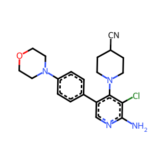 N#CC1CCN(c2c(-c3ccc(N4CCOCC4)cc3)cnc(N)c2Cl)CC1